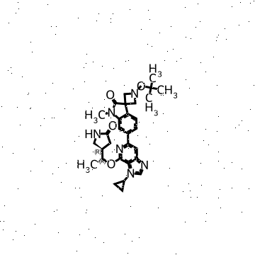 C[C@@H](Oc1nc(-c2ccc3c(c2)N(C)C(=O)C32CN(OC(C)(C)C)C2)cc2ncn(C3CC3)c12)[C@H]1CNC(=O)C1